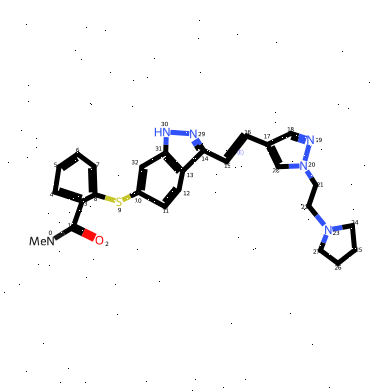 CNC(=O)c1ccccc1Sc1ccc2c(/C=C/c3cnn(CCN4CCCC4)c3)n[nH]c2c1